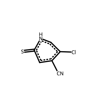 N#Cc1cc(=S)[nH]cc1Cl